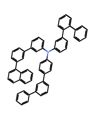 c1ccc(-c2cccc(-c3ccc(N(c4cccc(-c5cccc(-c6cccc7ccccc67)c5)c4)c4cccc(-c5ccccc5-c5ccccc5)c4)cc3)c2)cc1